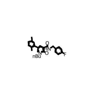 CCCCn1cc(-c2cc(C)ccc2C)cc(C(=O)NCc2ccc(F)cc2)c1=O